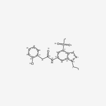 CCn1ncc2c(S(C)(=O)=O)cc(NC(=O)Cc3ccccc3Cl)cc21